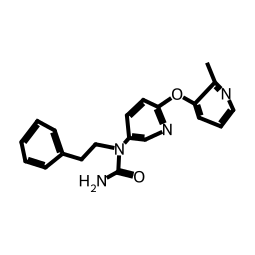 Cc1ncccc1Oc1ccc(N(CCc2ccccc2)C(N)=O)cn1